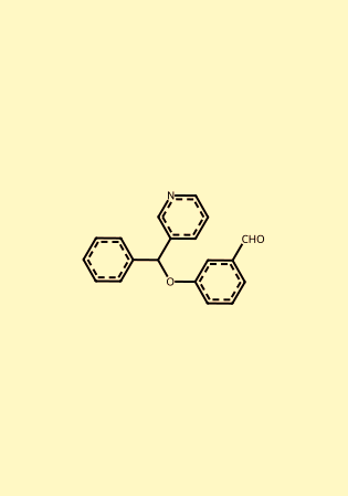 O=Cc1cccc(OC(c2ccccc2)c2cccnc2)c1